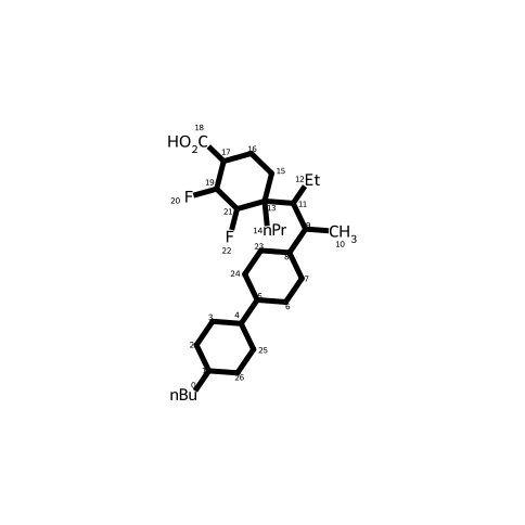 CCCCC1CCC(C2CCC(C(C)C(CC)C3(CCC)CCC(C(=O)O)C(F)C3F)CC2)CC1